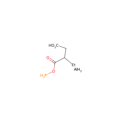 CCC(CC(=O)O)C(=O)OP.[AlH3]